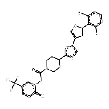 O=C(Cn1cc(C(F)(F)F)ccc1=O)N1CCC(c2nc(C3=NOC(c4c(F)cccc4Br)C3)cs2)CC1